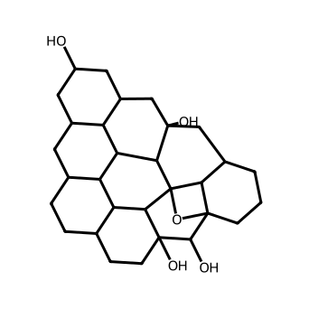 OC1CC2CC3CCC4CCC5(O)C(O)C67CCCC8CC9(O)CC(C1)C2C1C3C4C5C(O6)(C19)C87